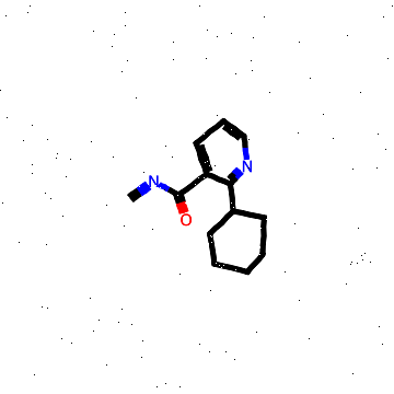 C=NC(=O)c1cccnc1C1CCCCC1